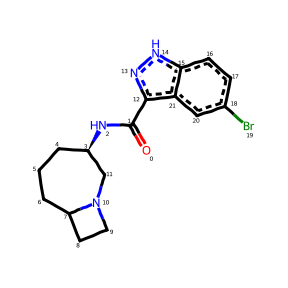 O=C(N[C@@H]1CCCC2CCN2C1)c1n[nH]c2ccc(Br)cc12